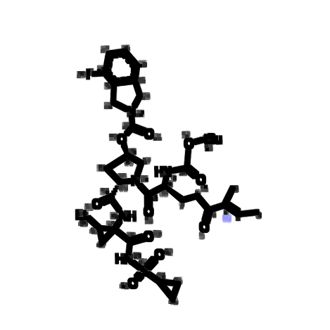 C/C=C(\C)C(=O)CC[C@H](NC(=O)OC(C)(C)C)C(=O)N1C[C@H](OC(=O)N2Cc3cccc(F)c3C2)C[C@H]1C(=O)NC1(C(=O)NS(=O)(=O)C2CC2)CC1CC